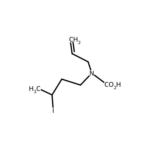 C=CCN(CCC(C)I)C(=O)O